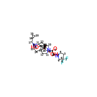 O=C(CN1CCC(F)(F)C1)N1CCC23CCN(CC4CC4)C(Cc4ccc(O)cc42)C3(O)CC1